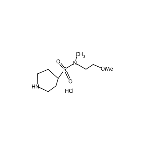 COCCN(C)S(=O)(=O)C1CCNCC1.Cl